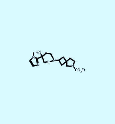 CCOC(=O)N1CCC2(CC(N3CCC(O)(c4nccn4C)CC3)C2)C1